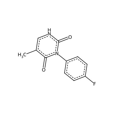 Cc1c[nH]c(=O)n(-c2ccc(F)cc2)c1=O